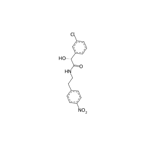 O=C(NCCc1ccc([N+](=O)[O-])cc1)[C@H](O)c1cccc(Cl)c1